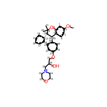 COc1ccc2c(c1)OC(C)(C)[C@@H](c1ccccc1)[C@@H]2c1ccc(OCC(O)CN2CCOCC2)cc1